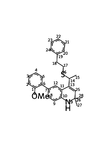 COc1ccccc1-c1ccc2c(c1)C(C(C)SCCc1ccccc1)=CC(C)(C)N2